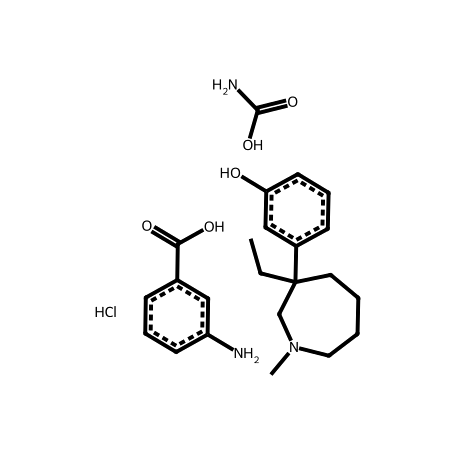 CCC1(c2cccc(O)c2)CCCCN(C)C1.Cl.NC(=O)O.Nc1cccc(C(=O)O)c1